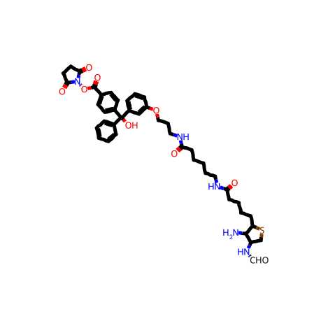 NC1C(NC=O)CSC1CCCCC(=O)NCCCCCC(=O)NCCCOc1cccc(C(O)(c2ccccc2)c2ccc(C(=O)ON3C(=O)CCC3=O)cc2)c1